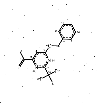 C=C(C)c1cc(OCc2ccccc2)nc(C(C)(F)F)n1